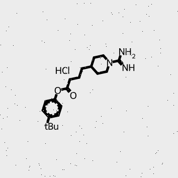 CC(C)(C)c1ccc(OC(=O)CCCC2CCN(C(=N)N)CC2)cc1.Cl